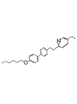 CCCCCCOc1ccc(-c2ccc(CCc3ccc(CC)cn3)cc2)cc1